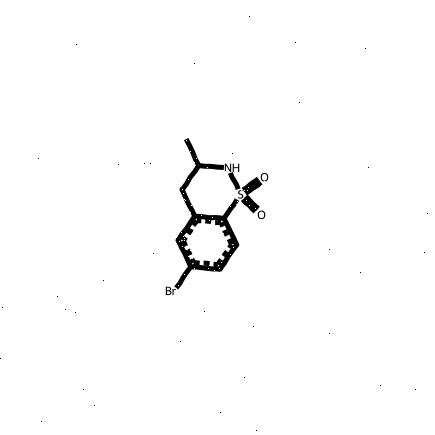 CC1Cc2cc(Br)ccc2S(=O)(=O)N1